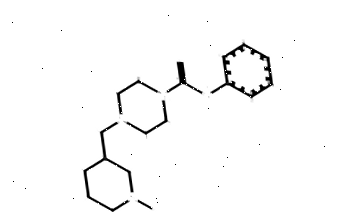 CN1CCCC(CN2CCN(C(=O)Nc3ccccc3)CC2)C1